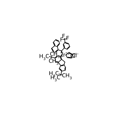 CC(C)(C)c1ccc2c(c1)-c1cc(C(C)(C)C)c[c]([Zr+2](=[C](c3cccc(C(F)(F)F)c3)c3cccc4ccccc34)[CH]3C=CC=C3)c1C2.[Cl-].[Cl-]